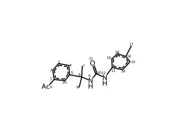 CC(=O)c1cccc(C(C)(C)NC(=O)Nc2ccc(C)cc2)c1